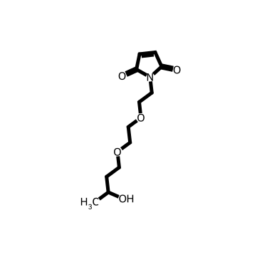 CC(O)CCOCCOCCN1C(=O)C=CC1=O